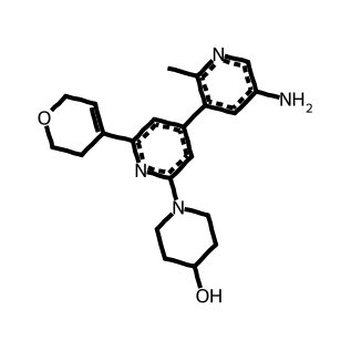 Cc1ncc(N)cc1-c1cc(C2=CCOCC2)nc(N2CCC(O)CC2)c1